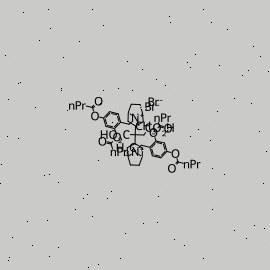 CCCC(=O)Oc1ccc(C[N+]2(C)C3CCC2CC(C(CC(=O)O)(C(=O)O)C2CC4CCC(C2)[N+]4(C)Cc2ccc(OC(=O)CCC)cc2OC(=O)CCC)C3)c(OC(=O)CCC)c1.[Br-].[Br-]